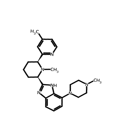 Cc1ccnc([C@@H]2CCC[C@H](c3nc4cccc(N5CCN(C)CC5)c4[nH]3)N2C)c1